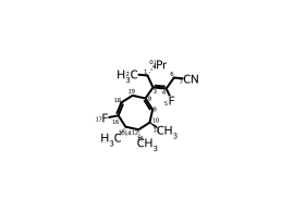 CC(C)[C@@H](C)C(=C(/F)CC#N)/C1=C/[C@@H](C)[C@H](C)[C@H](C)/C(F)=C\C1